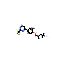 CC(COc1ccc(-c2ccnc(C(F)(F)F)n2)cc1Cl)CC(C)(C)N